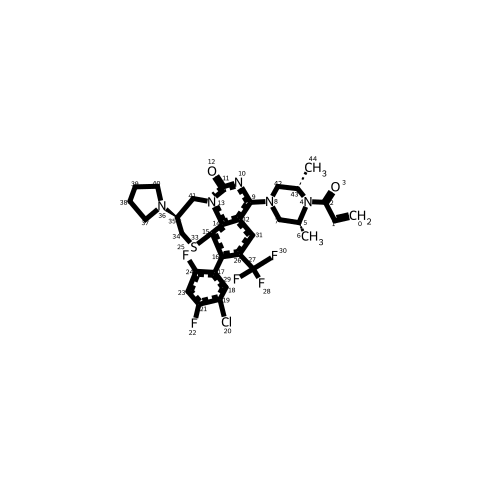 C=CC(=O)N1[C@H](C)CN(c2nc(=O)n3c4c(c(-c5cc(Cl)c(F)cc5F)c(C(F)(F)F)cc24)SC[C@@H](N2CCCC2)C3)C[C@@H]1C